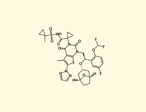 Cc1c(-n2nccn2)sc2c1c(=O)n(C1(C(=O)NS(=O)(=O)C3(C)CC3)CC1)c(=O)n2C[C@H](O[C@H]1C[C@H]2CC[C@@H](C1)O2)c1cc(F)ccc1OC(F)F